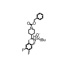 CC(C)(C)[S+]([O-])N[C@H](Cc1cc(F)c(F)cc1F)C1CCN(C(=O)OCc2ccccc2)CC1